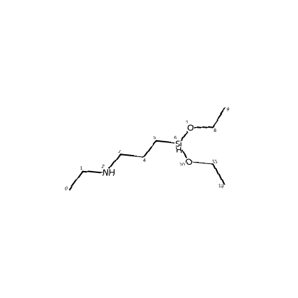 CCNCCC[SiH](OCC)OCC